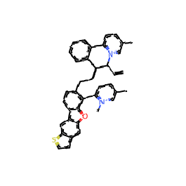 C=CC1C(CCc2ccc3c(oc4cc5ccsc5cc43)c2-c2ccc(C)c[n+]2C)c2ccccc2-c2ccc(C)c[n+]21